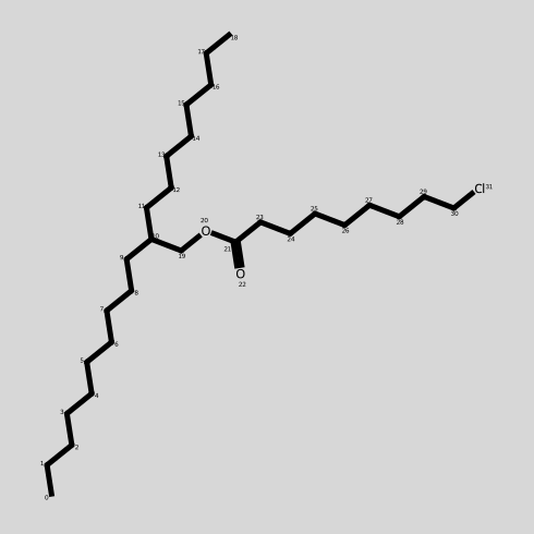 CCCCCCCCCCC(CCCCCCCC)COC(=O)CCCCCCCCCl